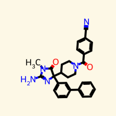 CN1C(=O)C(c2cccc(-c3ccccc3)c2)(C2CCN(C(=O)c3ccc(C#N)cc3)CC2)N=C1N